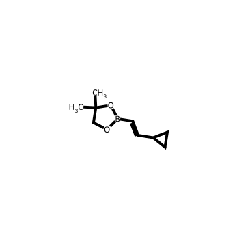 CC1(C)COB(/C=C/C2CC2)O1